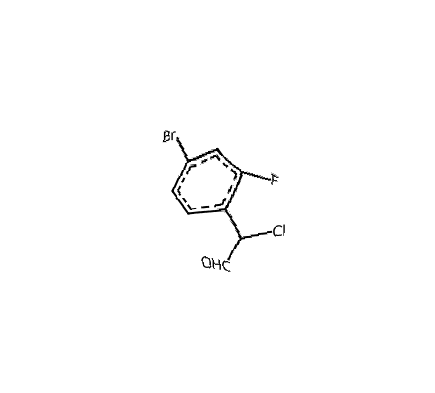 O=CC(Cl)c1ccc(Br)cc1F